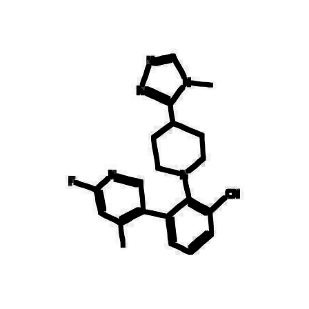 Cc1cc(F)ncc1-c1cccc(C#N)c1N1CCC(c2nncn2C)CC1